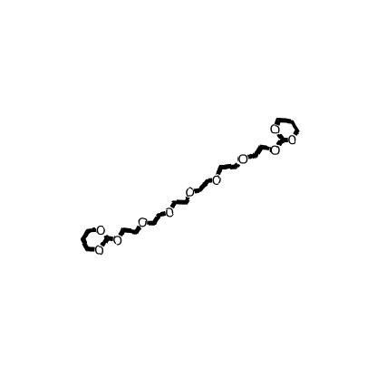 C1COC(OCCOCCOCCOCCOCCOCCOC2OCCCO2)OC1